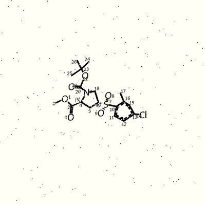 COC(=O)[C@@H]1C[C@@H](S(=O)(=O)c2ccc(Cl)cc2C)CN1C(=O)OC(C)(C)C